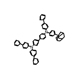 c1ccc(-c2ccc(N(c3ccc(-c4ccccc4)cc3)c3ccc(-c4ccc(N(c5ccc(-c6ccccc6)cc5)c5ccc(C67CC8CC(CC(C8)C6)C7)cc5)cc4)cc3)cc2)cc1